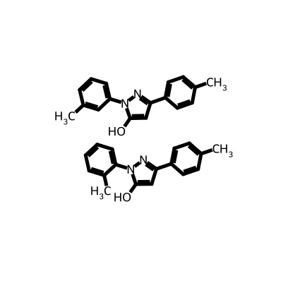 Cc1ccc(-c2cc(O)n(-c3cccc(C)c3)n2)cc1.Cc1ccc(-c2cc(O)n(-c3ccccc3C)n2)cc1